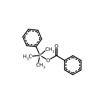 CP(C)(C)(OC(=O)c1ccccc1)c1ccccc1